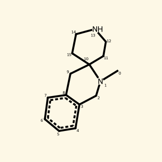 CN1Cc2ccccc2CC12CCNCC2